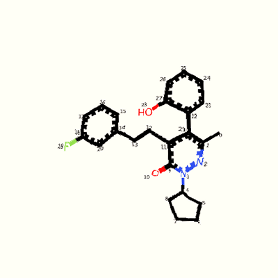 Cc1nn(C2CCCC2)c(=O)c(CCc2cccc(F)c2)c1-c1ccccc1O